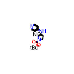 CC(C)(C)OC(=O)N1CCC(Nc2ccncc2[N+](=O)[O-])C1